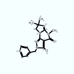 CN1C(=O)c2c(nn(Cc3ccncc3)c2Cl)N2CC(C)(C)N=C12